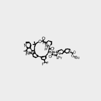 CCn1c(-c2cccnc2[C@H](C)OC)c2c3cc(ccc31)-c1cc(cc(C(F)F)c1)C[C@H](NC(=O)[C@H](C(C)C)N1CC[C@]3(CCN(C(=O)OC(C)(C)C)C3)C1)C(=O)N1CCC[C@H](N1)C(=O)OCC(C)(C)C2